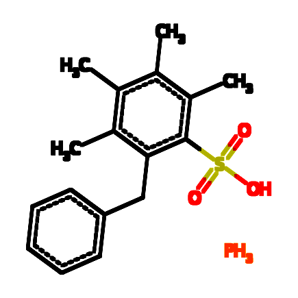 Cc1c(C)c(C)c(S(=O)(=O)O)c(Cc2ccccc2)c1C.P